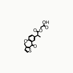 CC(C(=O)OCC(=O)O)c1ccc2c(c1)C(=O)c1sccc1CO2